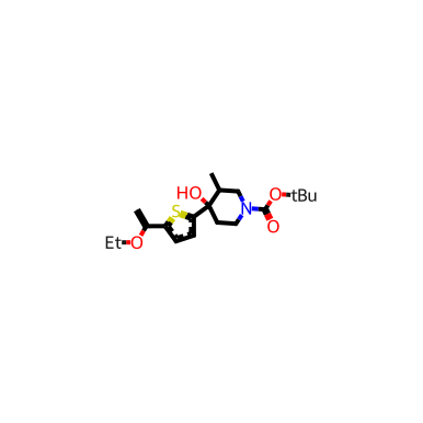 C=C(OCC)c1ccc(C2(O)CCN(C(=O)OC(C)(C)C)CC2C)s1